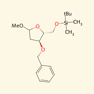 COC1C[C@H](OCc2ccccc2)[C@@H](CO[Si](C)(C)C(C)(C)C)O1